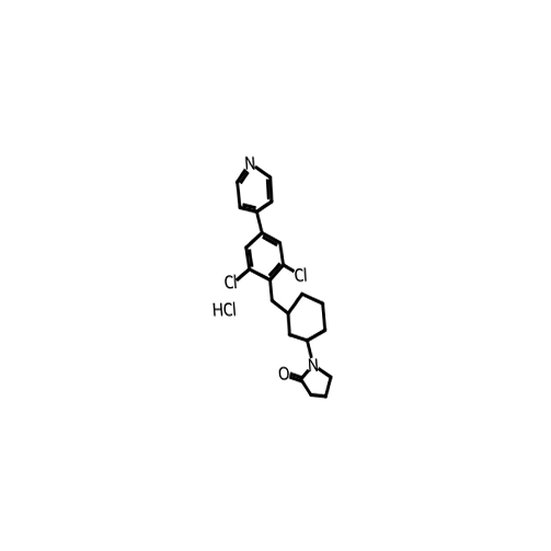 Cl.O=C1CCCN1C1CCCC(Cc2c(Cl)cc(-c3ccncc3)cc2Cl)C1